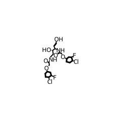 O=C(COc1ccc(Cl)c(F)c1)NCC[C@H](O)C(/C=C/O)NC(=O)COc1ccc(Cl)c(F)c1